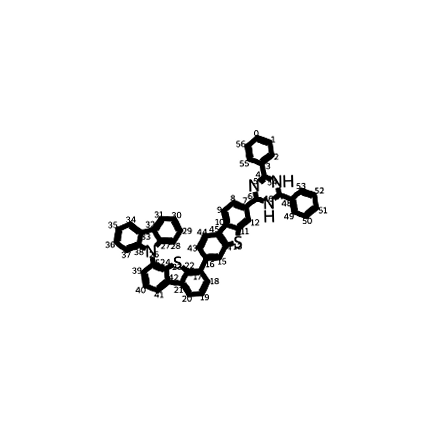 c1ccc(C2=NC(c3ccc4c(c3)sc3cc(-c5cccc6c5sc5c(-n7c8ccccc8c8ccccc87)cccc56)ccc34)NC(c3ccccc3)N2)cc1